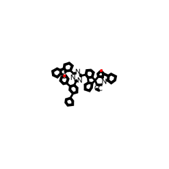 c1ccc(-c2ccc(-c3nc(-c4cccc5c4-c4ccccc4C54c5ccccc5-n5c6ccccc6c6cccc4c65)nc(-c4cccc5c4sc4ccccc45)n3)c(-c3ccccc3)c2)cc1